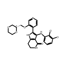 O=C1NCCc2[nH]c(-c3ccncc3OC[C@H]3COCCO3)c(Nc3cccc(Cl)c3Cl)c21